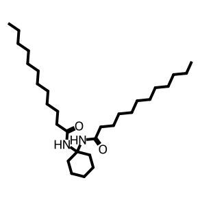 CCCCCCCCCCCC(=O)NC1(NC(=O)CCCCCCCCCCC)CCCCC1